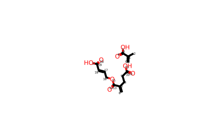 C=C(C)C(=O)O.C=C(CCC(=O)O)C(=O)OCC=CC(=O)O